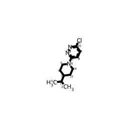 CC(C)C1CCN(c2ccc(Cl)nn2)CC1